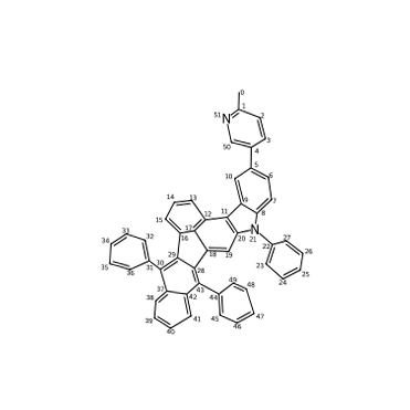 Cc1ccc(-c2ccc3c(c2)c2c4cccc5c4c(cc2n3-c2ccccc2)-c2c-5c(-c3ccccc3)c3ccccc3c2-c2ccccc2)cn1